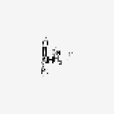 [BaH2].[Ir].[O]=[AlH].[Pt]